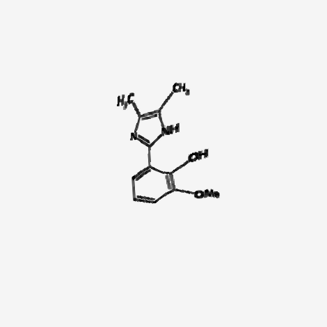 COc1cccc(-c2nc(C)c(C)[nH]2)c1O